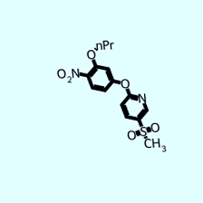 CCCOc1cc(Oc2ccc(S(C)(=O)=O)cn2)ccc1[N+](=O)[O-]